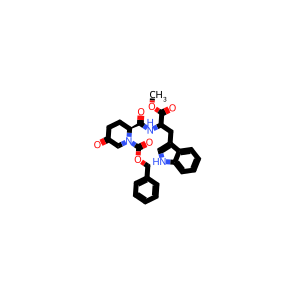 COC(=O)C(Cc1c[nH]c2ccccc12)NC(=O)[C@@H]1CCC(=O)CN1C(=O)OCc1ccccc1